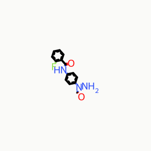 NN(C=O)c1ccc(NC(=O)c2ccccc2F)cc1